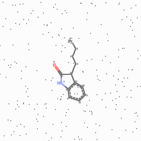 CC(C)CCCC1C(=O)Nc2ccccc21